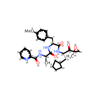 COc1ccc(C[C@H](NC(=O)[C@@H](C)NC(=O)c2ccccn2)C(=O)N[C@@H](CC2CCCC2)C(=O)[C@]2(C)CO2)cc1